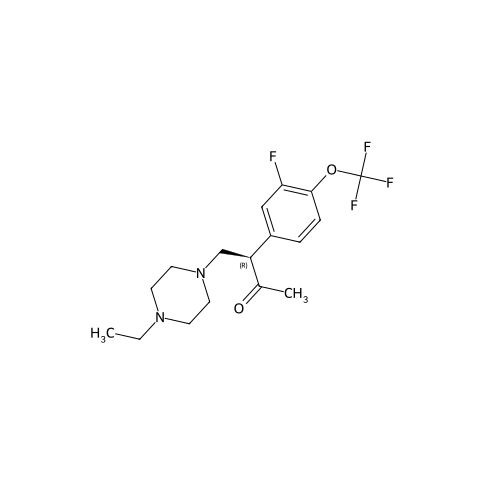 CCN1CCN(C[C@H](C(C)=O)c2ccc(OC(F)(F)F)c(F)c2)CC1